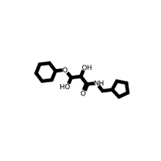 O=C(NCC1CCCC1)C(O)C(O)OC1CCCCC1